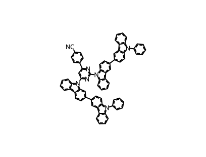 N#Cc1ccc(-c2cc(-n3c4ccccc4c4ccc(-c5ccc6c(c5)c5ccccc5n6-c5ccccc5)cc43)nc(-n3c4ccccc4c4cc(-c5ccc6c(c5)c5ccccc5n6-c5ccccc5)ccc43)n2)cc1